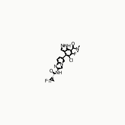 CN(C)C(=O)c1c(F)c(Cl)c(-c2ccc3nc(NC(=O)[C@@H]4C[C@@H]4F)cn3c2)c2cn[nH]c12